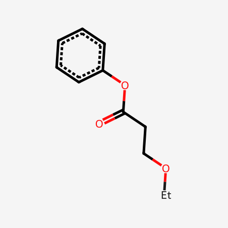 [CH2]COCCC(=O)Oc1ccccc1